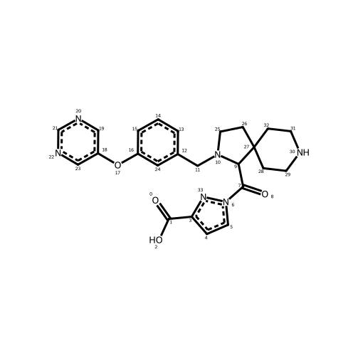 O=C(O)c1ccn(C(=O)C2N(Cc3cccc(Oc4cncnc4)c3)CCC23CCNCC3)n1